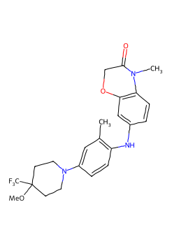 COC1(C(F)(F)F)CCN(c2ccc(Nc3ccc4c(c3)OCC(=O)N4C)c(C)c2)CC1